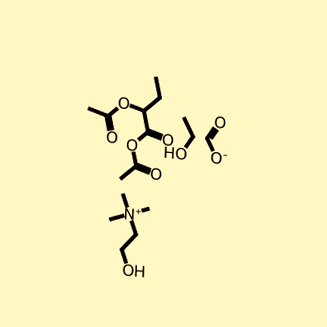 CCC(OC(C)=O)C(=O)OC(C)=O.CCO.C[N+](C)(C)CCO.O=C[O-]